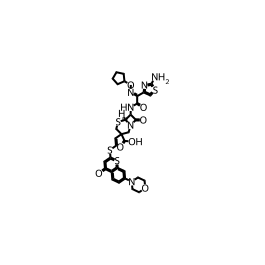 Nc1nc(C(=NOC2CCCC2)C(=O)NC2C(=O)N3CC(C=CSc4cc(=O)c5ccc(N6CCOCC6)cc5s4)(C(=O)O)CS[C@H]23)cs1